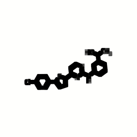 CC(O)c1cccc(Nc2nccc(-c3ccc(-c4ccc(Cl)cc4)s3)n2)c1